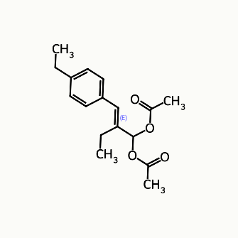 CC/C(=C\c1ccc(CC)cc1)C(OC(C)=O)OC(C)=O